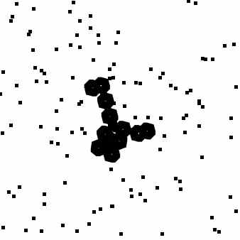 c1ccc(C2(c3ccccc3)c3ccccc3-c3c(N(c4ccc(-c5ccc(-c6cccc7ccccc67)cc5)cc4)c4ccc(-c5ccc6ccccc6c5)cc4)cccc32)cc1